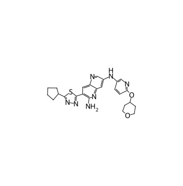 Nc1nc2cc(Nc3ccc(OC4CCOCC4)nc3)cnc2cc1-c1nnc(C2CCCC2)s1